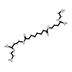 O=C(CCCCCCC(=O)OCCCC(O)OCCO)OCCCC(O)OCCO